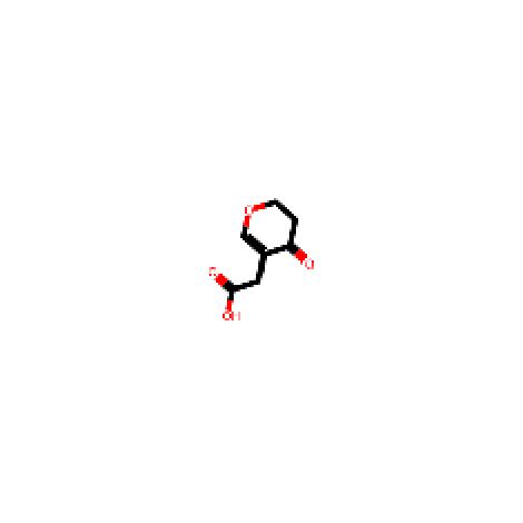 O=C(O)CC1=COCCC1=O